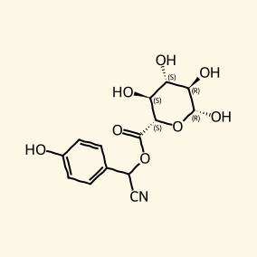 N#CC(OC(=O)[C@H]1O[C@@H](O)[C@H](O)[C@@H](O)[C@@H]1O)c1ccc(O)cc1